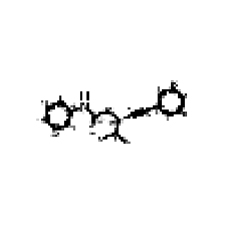 CC(C)[C@H](C#Cc1ccccc1)CC(=O)Nc1ccccc1